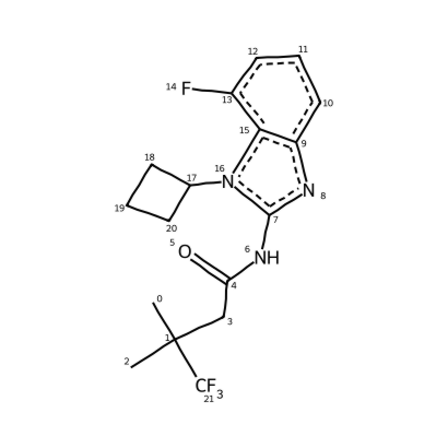 CC(C)(CC(=O)Nc1nc2cccc(F)c2n1C1CCC1)C(F)(F)F